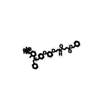 Cc1c(NS(C)(=O)=O)cccc1N(Cc1ccccc1)Cc1ccc(Oc2cccc(OCCNC(=O)CCC(=O)OCc3ccccc3)c2)cc1